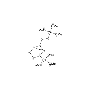 CO[Si](CCC1CC2([Si](OC)(OC)OC)CCC1C2)(OC)OC